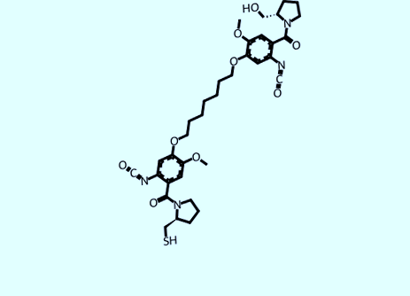 COc1cc(C(=O)N2CCC[C@H]2CO)c(N=C=O)cc1OCCCCCCCOc1cc(N=C=O)c(C(=O)N2CCC[C@H]2CS)cc1OC